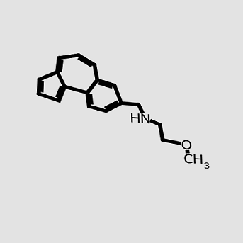 COCCNCc1ccc2c3cccc-3cccc2c1